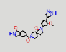 COc1cc(N2CCC3(CCN(C(=O)c4ccc5c(c4)CNC5=O)CC3)C2=O)ccc1-c1cn[nH]c1